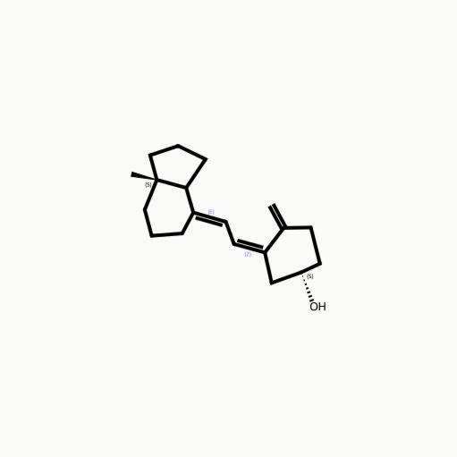 C=C1CC[C@H](O)C/C1=C/C=C1\CCC[C@]2(C)CCCC12